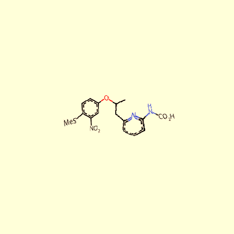 CSc1ccc(OC(C)Cc2cccc(NC(=O)O)n2)cc1[N+](=O)[O-]